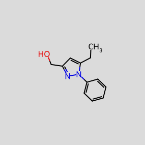 CCc1cc(CO)nn1-c1ccccc1